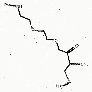 CC(C)NCCOCCOCC(=O)C(C)CSS